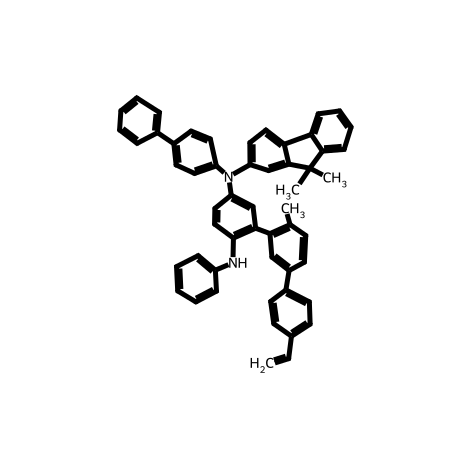 C=Cc1ccc(-c2ccc(C)c(-c3cc(N(c4ccc(-c5ccccc5)cc4)c4ccc5c(c4)C(C)(C)c4ccccc4-5)ccc3Nc3ccccc3)c2)cc1